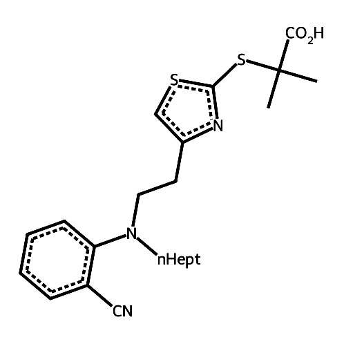 CCCCCCCN(CCc1csc(SC(C)(C)C(=O)O)n1)c1ccccc1C#N